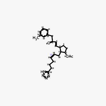 CC(=O)OC1CCC(C=CC(=O)Cc2cccc(C)c2)C1C/C=C\CCCc1nnn[nH]1